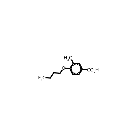 Cc1cc(C(=O)O)ccc1OCCCC(F)(F)F